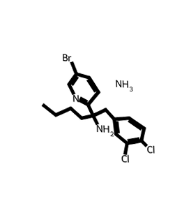 CCCCC(N)(Cc1ccc(Cl)c(Cl)c1)c1ccc(Br)cn1.N